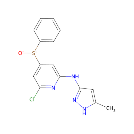 Cc1cc(Nc2cc([S+]([O-])c3ccccc3)cc(Cl)n2)n[nH]1